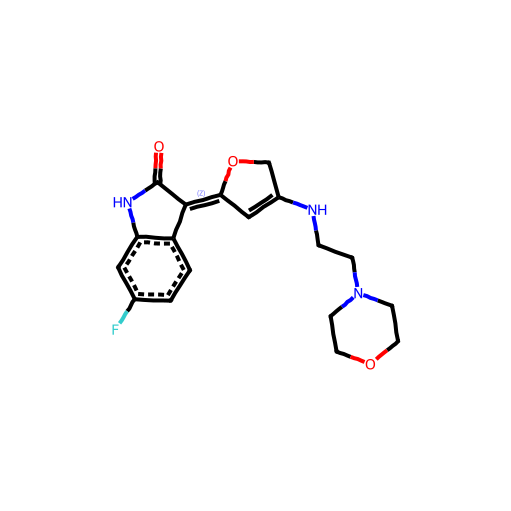 O=C1Nc2cc(F)ccc2/C1=C1\C=C(NCCN2CCOCC2)CO1